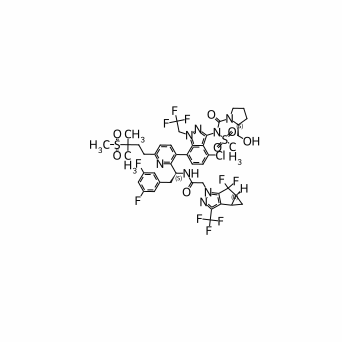 CC(C)(CCc1ccc(-c2ccc(Cl)c3c(N(C(=O)N4CCC[C@H]4CO)S(C)(=O)=O)nn(CC(F)(F)F)c23)c([C@H](Cc2cc(F)cc(F)c2)NC(=O)Cn2nc(C(F)(F)F)c3c2C(F)(F)[C@@H]2CC32)n1)S(C)(=O)=O